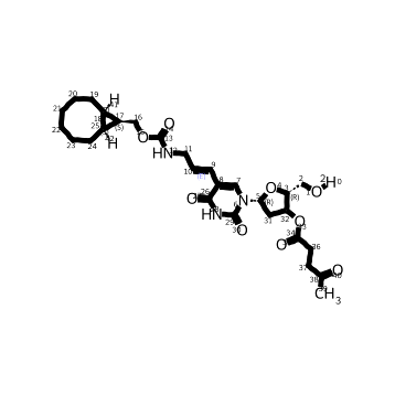 [2H]OC[C@H]1O[C@@H](n2cc(/C=C/CNC(=O)OC[C@@H]3[C@@H]4CCCCCC[C@@H]43)c(=O)[nH]c2=O)CC1OC(=O)CCC(C)=O